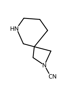 N#CN1CC2(CCCNC2)C1